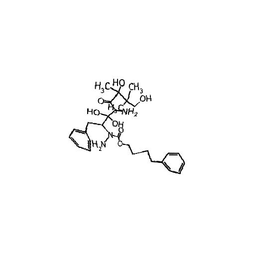 CC(C)(CO)C(C)(O)C(=O)C(N)C(O)(O)C(Cc1ccccc1)N(N)C(=O)OCCCCc1ccccc1